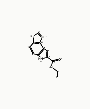 CCOC(=O)c1cc2c(ccc3scnc32)[nH]1